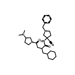 CN(C)C1CCN(C(=O)CC(CC2CCCCC2)C(=O)NC2(C#N)CCN(Cc3ccccc3)C2)C1